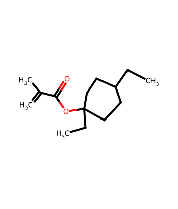 C=C(C)C(=O)OC1(CC)CCC(CC)CC1